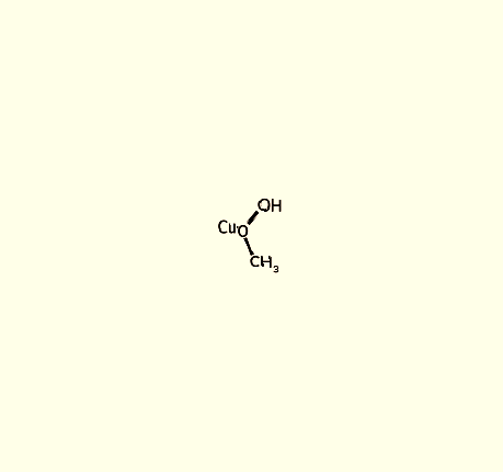 COO.[Cu]